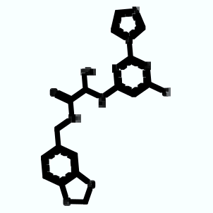 CCCCC(Nc1cc(Cl)nc(-n2ccnc2)n1)C(=O)NCc1ccc2c(c1)OCO2